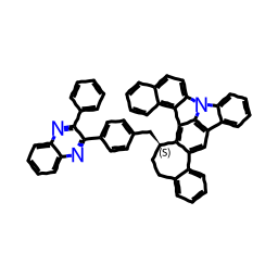 c1ccc(-c2nc3ccccc3nc2-c2ccc(C[C@@H]3CCc4ccccc4-c4cc5c6ccccc6n6c7ccc8ccccc8c7c(c43)c56)cc2)cc1